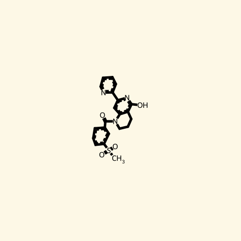 CS(=O)(=O)c1cccc(C(=O)N2CCCc3c2cc(-c2ccccn2)nc3O)c1